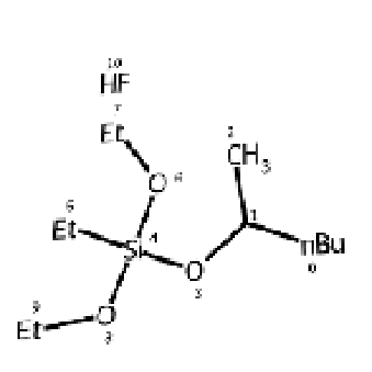 CCCCC(C)O[Si](CC)(OCC)OCC.F